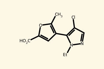 CCn1ncc(Cl)c1-c1cc(C(=O)O)oc1C